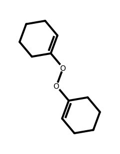 C1=C(OOC2=CCCCC2)CCCC1